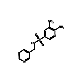 Nc1ccc(S(=O)(=O)NCc2cccnc2)cc1[N+](=O)[O-]